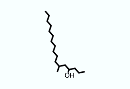 CCCCCCCCCCCC(C)CC(O)CCC